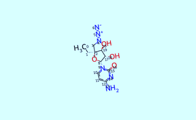 CC[C@@]1(CN=[N+]=[N-])O[C@@H](n2ccc(N)nc2=O)[C@@H](O)[C@@H]1O